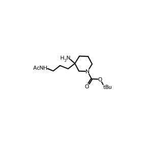 CC(=O)NCCCC1(N)CCCN(C(=O)OC(C)(C)C)C1